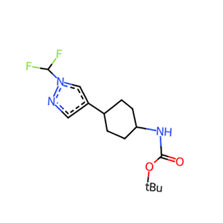 CC(C)(C)OC(=O)NC1CCC(c2cnn(C(F)F)c2)CC1